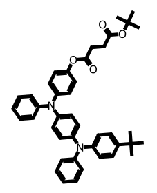 CC(C)(C)OC(=O)CCC(=O)Oc1ccc(N(c2ccccc2)c2ccc(N(c3ccccc3)c3ccc(C(C)(C)C)cc3)cc2)cc1